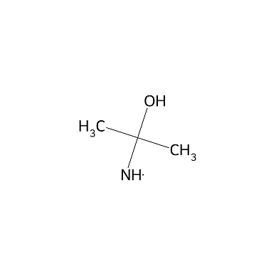 CC(C)([NH])O